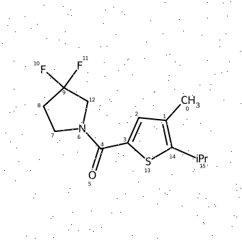 Cc1cc(C(=O)N2CCC(F)(F)C2)sc1C(C)C